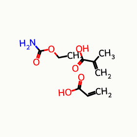 C=C(C)C(=O)O.C=CC(=O)O.CCOC(N)=O